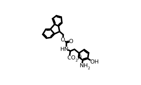 Nc1cc(CC(NC(=O)OCC2c3ccccc3-c3ccccc32)C(=O)O)ccc1O